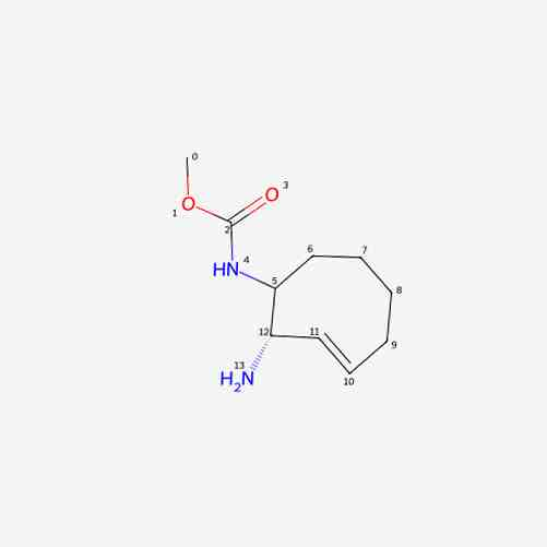 COC(=O)NC1CCCC/C=C/[C@@H]1N